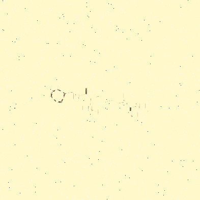 CC(C)N[C@H](CCCCNC(=N)N)C(=O)NCc1ccccc1